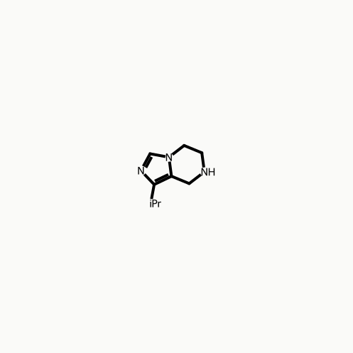 CC(C)c1ncn2c1CNCC2